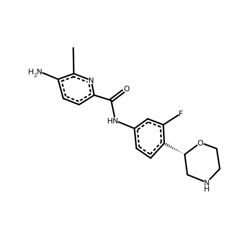 Cc1nc(C(=O)Nc2ccc([C@H]3CNCCO3)c(F)c2)ccc1N